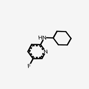 Fc1ccc(NC2CCCCC2)nc1